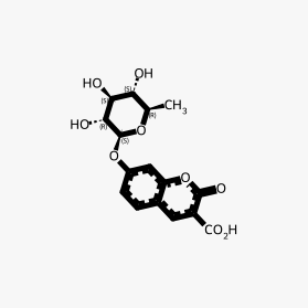 C[C@H]1O[C@@H](Oc2ccc3cc(C(=O)O)c(=O)oc3c2)[C@H](O)[C@@H](O)[C@@H]1O